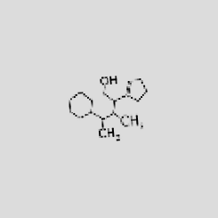 CC(C1CCCCC1)C(C)C(CO)C1=CCCC1